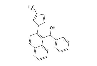 CC1=CC(c2ccc3ccccc3c2C(O)c2ccccc2)C=C1